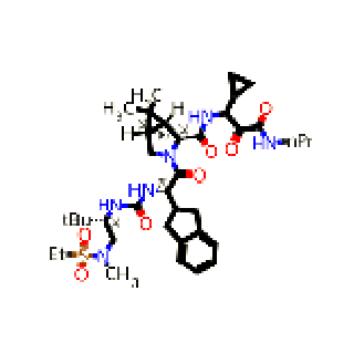 CCCNC(=O)C(=O)C(NC(=O)[C@@H]1[C@@H]2[C@H](CN1C(=O)[C@@H](NC(=O)N[C@H](CN(C)S(=O)(=O)CC)C(C)(C)C)C1Cc3ccccc3C1)C2(C)C)C1CC1